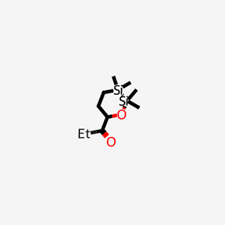 CCC(=O)C1CC[Si](C)(C)[Si](C)(C)O1